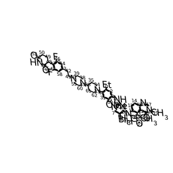 CCc1cc(Nc2ncc(Br)c(Nc3ccc4ncn(C)c(=O)c4c3P(C)(C)=O)n2)c(OC)cc1N1CCC(N2CCN(CCc3cc(F)c(C4CCC(=O)NC4=O)c(F)c3)CC2)CC1